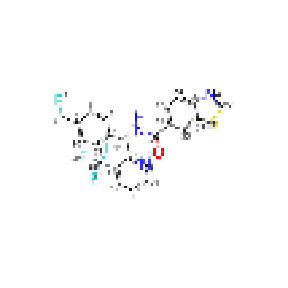 O=C(N[C@@H](c1ccc(CF)cc1)c1ncccc1C(F)(F)F)c1ccc2ncsc2c1